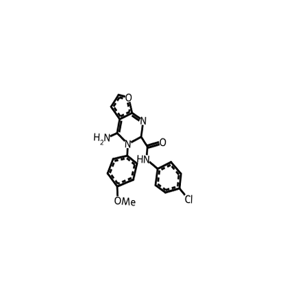 COc1ccc(N2C(N)=c3ccoc3=NC2C(=O)Nc2ccc(Cl)cc2)cc1